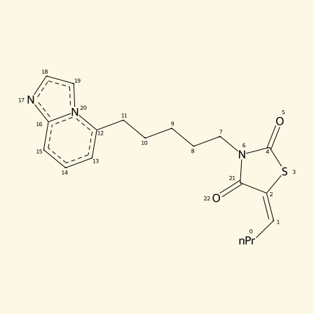 CCCC=C1SC(=O)N(CCCCCc2cccc3nccn23)C1=O